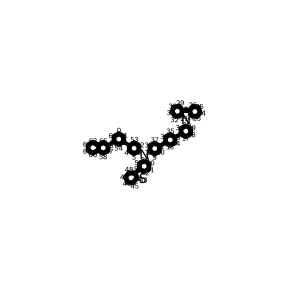 c1cc(-c2ccc(N(c3ccc(-c4ccc(-c5cccc(-n6c7ccccc7c7ccccc76)c5)cc4)cc3)c3ccc4sc5ccccc5c4c3)cc2)cc(-c2ccc3ccccc3c2)c1